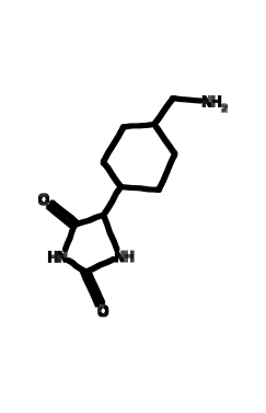 NCC1CCC(C2NC(=O)NC2=O)CC1